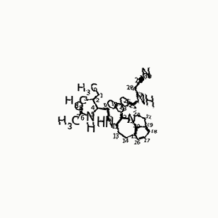 CC[C@H](C)[C@H](NC(C)=O)C(=O)N[C@H]1CCc2cccc3c2N(C1=O)[C@H](C(=O)NCC#N)C3